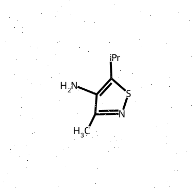 Cc1nsc(C(C)C)c1N